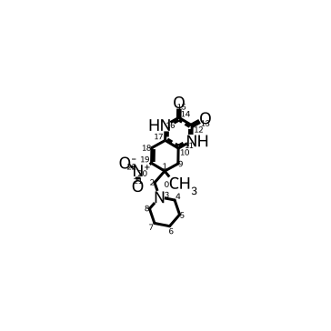 CC1(CN2CCCCC2)Cc2[nH]c(=O)c(=O)[nH]c2C=C1[N+](=O)[O-]